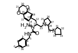 Cc1ccc(CNC(=O)N(N)[C@@H](Cc2ccc3c(c2)OCCO3)CN2CCCC2CN2CCCC2)cc1